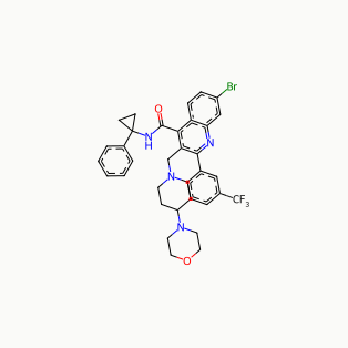 O=C(NC1(c2ccccc2)CC1)c1c(CN2CCC(N3CCOCC3)CC2)c(-c2cccc(C(F)(F)F)c2)nc2cc(Br)ccc12